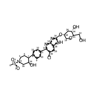 CS(=O)(=O)N1CCC(c2ccc(-c3nc4nc(O[C@H]5COC(CO)[C@@H](O)C5)[nH]c4cc3Cl)cc2)C(O)C1